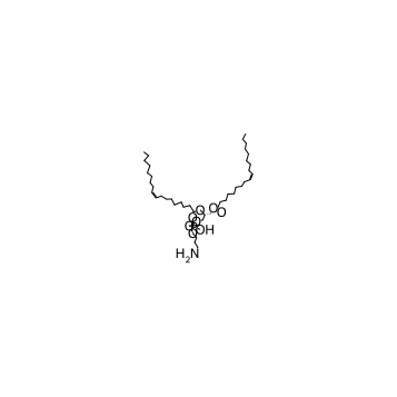 CCCCCCCC/C=C\CCCCCCCC(=O)OC[C@H](COP(=O)(O)OCCCN)OC(=O)CCCCCCC/C=C\CCCCCCCC